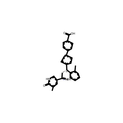 Cc1ccccc1[C@H](C/C(=N\O)c1c[nH]c(=O)c(C)c1)c1ccc(-c2ccc(C(=O)O)cc2)cc1